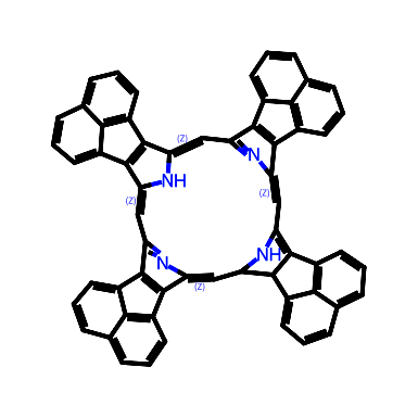 C1=c2\[nH]/c(c3c2-c2cccc4cccc-3c24)=C\c2n/c(c3c4cccc5cccc(c2=3)c54)=C\C2NC(=C3c4cccc5cccc(c45)C32)/C=c2\nc/1c1c3cccc4cccc(c2=1)c43